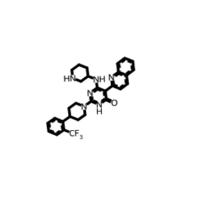 O=c1[nH]c(N2CCC(c3ccccc3C(F)(F)F)CC2)nc(NC2CCCNC2)c1-c1ccc2ccccc2n1